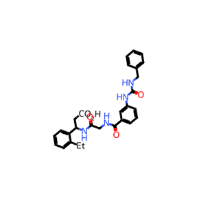 CCc1ccccc1C(CC(=O)O)NC(=O)CNC(=O)c1cccc(NC(=O)NCc2ccccc2)c1